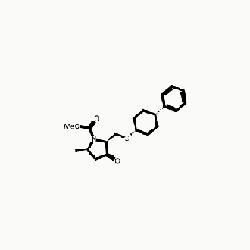 COC(=O)N1[C@H](C)CC(=O)[C@@H]1CO[C@H]1CC[C@@H](c2ccccc2)CC1